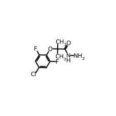 CC(C)(Oc1c(F)cc(Cl)cc1F)C(=O)NN